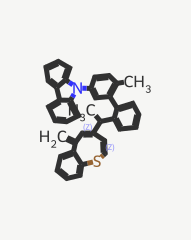 C=C1/C=C(C(C)c2ccccc2-c2cc(-n3c4ccccc4c4ccccc43)ccc2C)\C=C/Sc2ccccc21